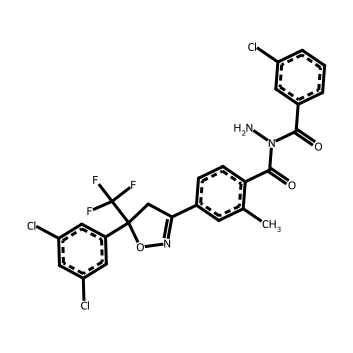 Cc1cc(C2=NOC(c3cc(Cl)cc(Cl)c3)(C(F)(F)F)C2)ccc1C(=O)N(N)C(=O)c1cccc(Cl)c1